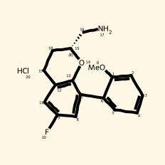 COc1ccccc1-c1cc(F)cc2c1O[C@@H](CN)CC2.Cl